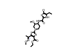 CCOC(=O)c1nc(N2CCC(NC(=O)c3nc(Cl)c(CC)[nH]3)C(OC)C2)sc1/C(C)=N/OC